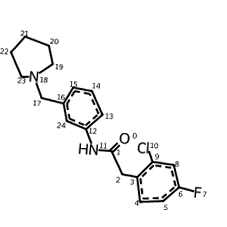 O=C(Cc1ccc(F)cc1Cl)Nc1cccc(CN2CCCCC2)c1